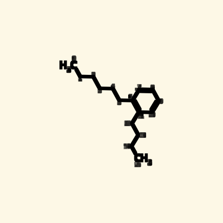 CCCCCCc1[c]cccc1CCCC